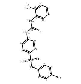 O=S(=O)(Nc1ccc(Cl)cc1)c1ccc(NC(=S)Nc2ccccc2C(F)(F)F)cc1